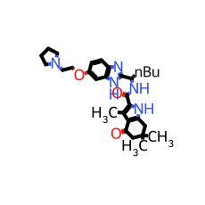 CCCCC(NC(=O)c1[nH]c2c(c1C)C(=O)CC(C)(C)C2)c1nc2ccc(OCCN3CCCC3)cc2[nH]1